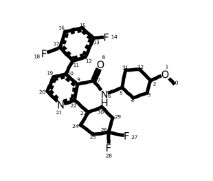 COC1CCC(NC(=O)c2c(-c3cc(F)ccc3F)ccnc2C2CCC(F)(F)CC2)CC1